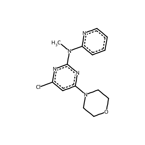 CN(c1ccccn1)c1nc(Cl)cc(N2CCOCC2)n1